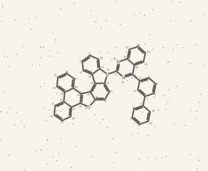 c1ccc(-c2cccc(-c3nc(-n4c5ccccc5c5c6c(ccc54)sc4c5ccccc5c5ccccc5c46)nc4ccccc34)c2)cc1